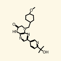 COC1CCC(CN2CC(=O)Nc3ncc(-c4ccc(C(C)(C)O)nc4)nc32)CC1